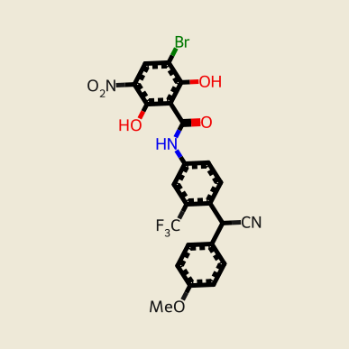 COc1ccc(C(C#N)c2ccc(NC(=O)c3c(O)c(Br)cc([N+](=O)[O-])c3O)cc2C(F)(F)F)cc1